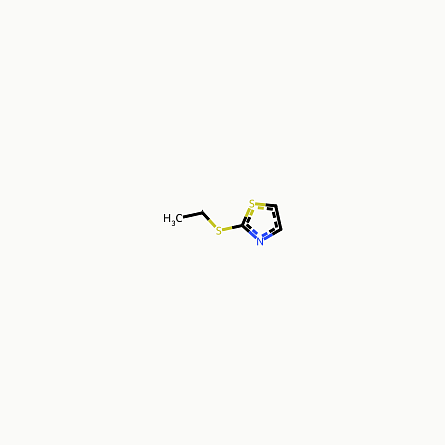 C[CH]Sc1nccs1